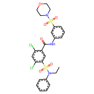 CCN(c1ccccc1)S(=O)(=O)c1cc(C(=O)Nc2cccc(S(=O)(=O)N3CCOCC3)c2)c(Cl)cc1Cl